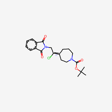 CC(C)(C)OC(=O)N1CCC/C(=C(/Cl)CN2C(=O)c3ccccc3C2=O)CC1